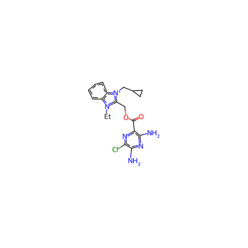 CCn1c(COC(=O)c2nc(Cl)c(N)nc2N)[n+](CC2CC2)c2ccccc21